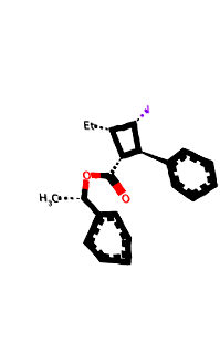 CC[C@@H]1[C@H](I)[C@@H](c2ccccc2)[C@@H]1C(=O)O[C@@H](C)c1ccccc1